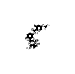 Cc1cc(OC(F)F)cnc1C(=O)Nc1ccc(F)c([C@@]2(C)N=C(N)C3(CC3)S(O)(O)[C@H]2F)c1